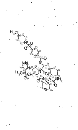 CN1CCN(S(=O)(=O)c2ccc(C(=O)/N=C(\CC3CCCCC3)C(=O)N3C[C@@H](n4nncc4C(C)(C)O)C[C@H]3C(=O)NC3(C(=O)C(N)=O)CCSCC3)cc2)CC1